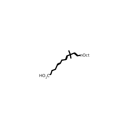 CCCCCCCCC=CC(C)(C)C=CCC=CCCCC(=O)O